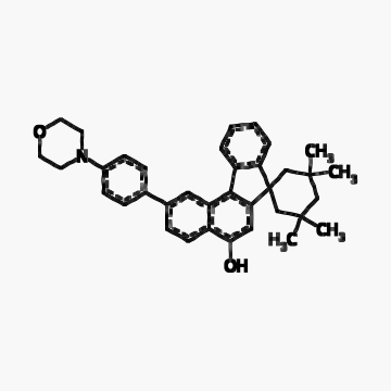 CC1(C)CC(C)(C)CC2(C1)c1ccccc1-c1c2cc(O)c2ccc(-c3ccc(N4CCOCC4)cc3)cc12